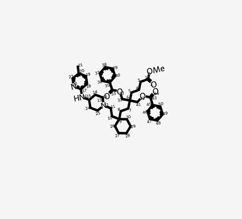 COC(=O)CCCC(CCC1(CCN2CCC(Nc3ccc(C)cn3)CC2)CCCCC1)(COC(=O)c1ccccc1)COC(=O)c1ccccc1